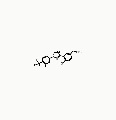 NCc1ccc(Cl)c(C2=NN(c3ccc(C(F)(F)F)c(F)c3)CN2)c1